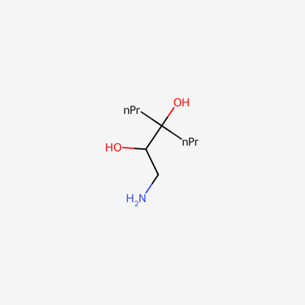 CCCC(O)(CCC)C(O)CN